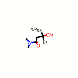 CCCCCCC(O)(CC)CC(=O)N(C)C